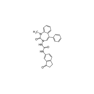 CN1C(=O)N(NC(=O)Nc2ccc3c(c2)C(=O)CC3)C=C(c2ccccc2)c2ccccc21